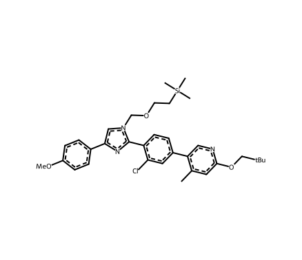 COc1ccc(-c2cn(COCC[Si](C)(C)C)c(-c3ccc(-c4cnc(OCC(C)(C)C)cc4C)cc3Cl)n2)cc1